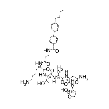 CCCCc1ccc(-c2ccc(C(=O)NCCC(=O)N[C@@H](CCCCN)C(=O)N[C@H](C(=O)N[C@@H](N)C(=O)N[C@@H](CC(N)=O)C(=O)N[C@H]3CCOB3O)C(C)O)cc2)cc1